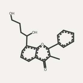 Cc1c(-c2ccccc2)oc2c(C(O)CCCO)cccc2c1=O